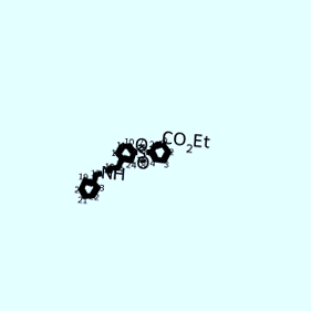 CCOC(=O)c1cccc(S(=O)(=O)c2cccc(CCNCc3ccccc3)c2)c1